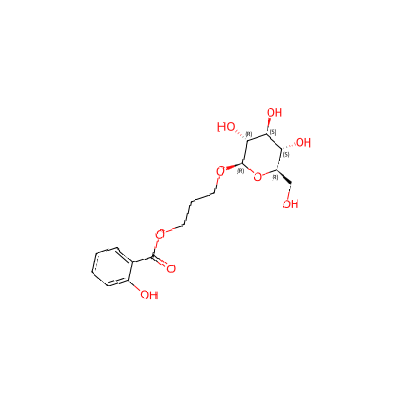 O=C(OCCCO[C@@H]1O[C@H](CO)[C@@H](O)[C@H](O)[C@H]1O)c1ccccc1O